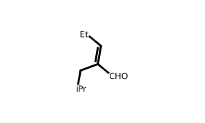 CCC=C(C=O)CC(C)C